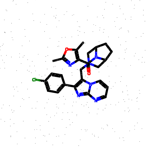 Cc1nc(C(=O)N2C3CCC2CN(Cc2c(-c4ccc(Cl)cc4)nc4ncccn24)C3)c(C)o1